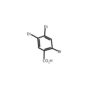 CCc1cc(Br)c(C(=O)O)cc1CC